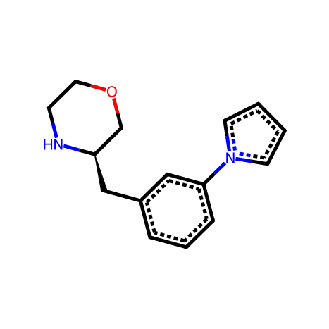 c1cc(C[C@@H]2COCCN2)cc(-n2cccc2)c1